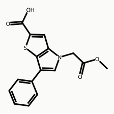 COC(=O)Cn1cc(-c2ccccc2)c2sc(C(=O)O)cc21